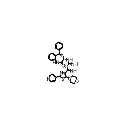 N=C(N[C@H]1N=C(c2ccccc2)c2ccccc2NC1=O)OC(=N)c1nc(-c2ccncc2)sc1N1CCOCC1